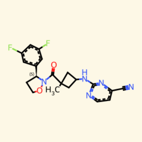 CC1(C(=O)N2OCC[C@H]2c2cc(F)cc(F)c2)CC(Nc2nccc(C#N)n2)C1